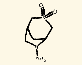 NN1CC2CC1CS(=O)(=O)C2